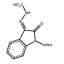 CCCCCCN1C(=O)/C(=N\NC(=O)O)c2ccccc21